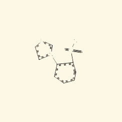 NS(=O)(=O)c1ccccc1-n1ccnc1